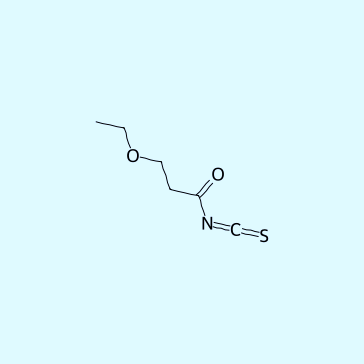 CCOCCC(=O)N=C=S